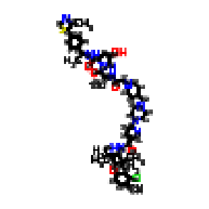 Cc1ncsc1-c1ccc([C@H](C)NC(=O)[C@@H]2C[C@@H](O)CN2C(=O)[C@@H](NC(=O)CN2CCC(CN3CCN(c4ccc(C(=O)NC5C(C)(C)C(Oc6ccc(C#N)c(Cl)c6)C5(C)C)cn4)CC3)CC2)C(C)(C)C)cc1